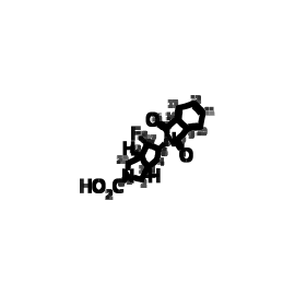 O=C(O)N1C[C@H]2C[C@H](N3C(=O)c4ccccc4C3=O)[C@H](F)[C@H]2C1